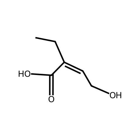 CC/C(=C/CO)C(=O)O